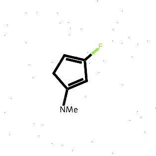 CNC1=CC(F)=CC1